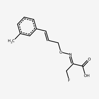 Cc1cccc(C=CCON=C(CF)C(=O)O)c1